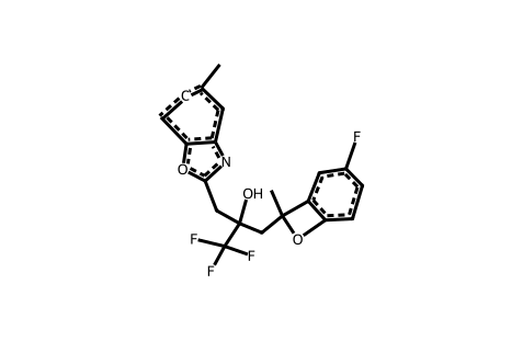 Cc1ccc2oc(CC(O)(CC3(C)Oc4ccc(F)cc43)C(F)(F)F)nc2c1